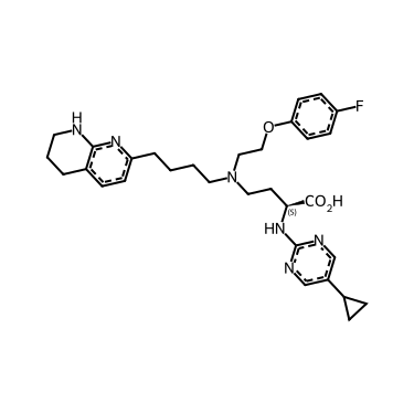 O=C(O)[C@H](CCN(CCCCc1ccc2c(n1)NCCC2)CCOc1ccc(F)cc1)Nc1ncc(C2CC2)cn1